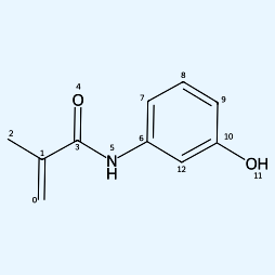 C=C(C)C(=O)Nc1cccc(O)c1